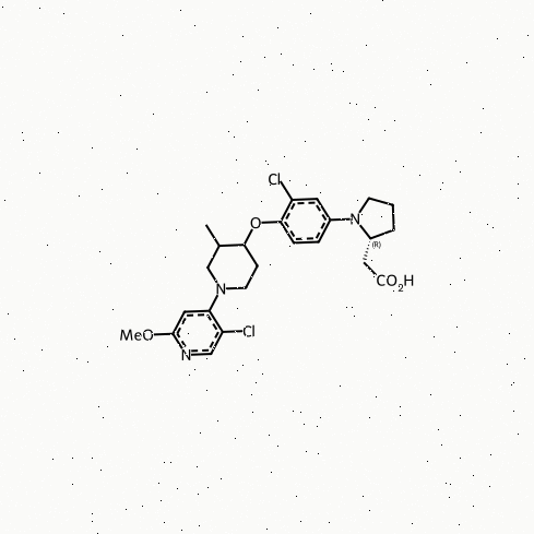 COc1cc(N2CCC(Oc3ccc(N4CCC[C@@H]4CC(=O)O)cc3Cl)C(C)C2)c(Cl)cn1